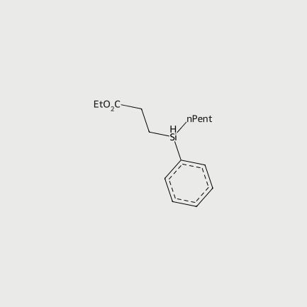 CCCCC[SiH](CCC(=O)OCC)c1ccccc1